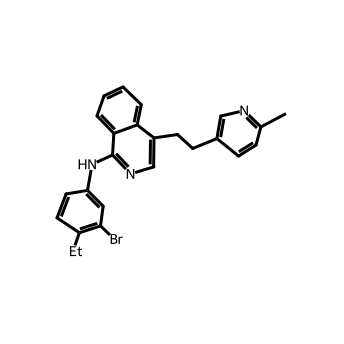 CCc1ccc(Nc2ncc(CCc3ccc(C)nc3)c3ccccc23)cc1Br